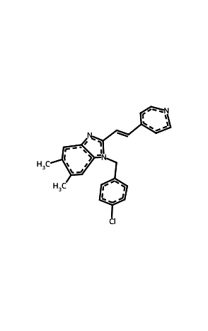 Cc1cc2nc(C=Cc3ccncc3)n(Cc3ccc(Cl)cc3)c2cc1C